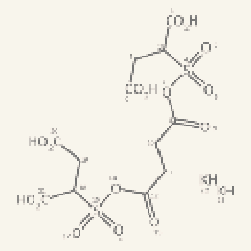 O=C(O)CC(C(=O)O)S(=O)(=O)OC(=O)CCC(=O)OS(=O)(=O)C(CC(=O)O)C(=O)O.[KH].[KH]